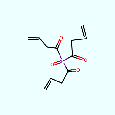 C=CCC(=O)P(=O)(C(=O)CC=C)C(=O)CC=C